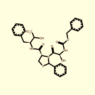 CCC[C@H](NC(=O)OCc1ccccc1)C(=O)N1C(c2ccccc2)SC[C@H]1C(=O)N[C@@H](Cc1ccccc1)C(O)C(=O)O